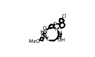 CO[C@H]1C[C@@H](N2CC/C=C/[C@H](O)[C@@H]3CC[C@H]3CN3C[C@@]4(CCCc5cc(Cl)ccc54)COc4ccc(cc43)C(=O)NS2(=O)=O)C1